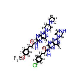 Cc1nc(N2CCC(N3CCCC3)CC2)nc2ncc(NC(=O)C=Cc3ccc(OC(F)(F)F)cc3)nc12.Cc1nc(N2CCNCC2)nc2ncc(NC(=O)CCc3ccc(Cl)cc3)nc12